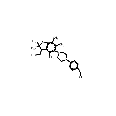 COc1ccc(N2CCN(c3c(C)c(C)c4c(c3C)C(CO)C(C)(C)O4)CC2)cc1